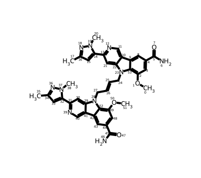 COc1cc(C(N)=O)cc2c3cnc(-c4cc(C)nn4C)cc3n(C/C=C/Cn3c4cc(-c5cc(C)nn5C)ncc4c4cc(C(N)=O)cc(OC)c43)c12